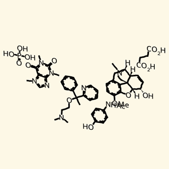 CC(=O)Nc1ccc(O)cc1.CN(C)CCOC(C)(c1ccccc1)c1ccccn1.COc1ccc2c3c1O[C@H]1[C@@H](O)C=C[C@H]4[C@@H](C2)N(C)CC[C@@]341.Cn1c(=O)c2c(ncn2C)n(C)c1=O.O=C(O)CCC(=O)O.O=P(O)(O)O